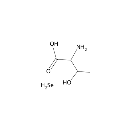 CC(O)C(N)C(=O)O.[SeH2]